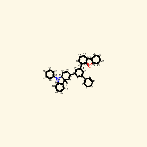 CC12C=C(c3cc(C4=CCCC=C4)cc(-c4cccc5c4oc4ccccc45)c3)C=CC1N(c1ccccc1)c1ccccc12